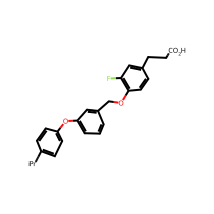 CC(C)c1ccc(Oc2cccc(COc3ccc(CCC(=O)O)cc3F)c2)cc1